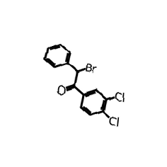 O=C(c1ccc(Cl)c(Cl)c1)C(Br)c1ccccc1